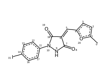 Cc1ccc(C=C2C(=O)NN(c3ccc(I)cc3)C2=O)o1